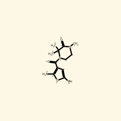 CN1CCN(C(=O)c2cc(C(C)(C)C)oc2N)C(C)(C)C1=O